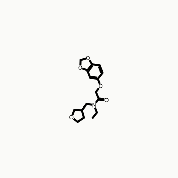 CCN(CC1CCOC1)C(=O)COc1ccc2c(c1)OCO2